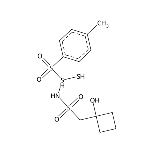 Cc1ccc(S(=O)(=O)[SH](S)NS(=O)(=O)CC2(O)CCC2)cc1